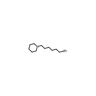 CC(C)CCCCCCN1CCCCC1